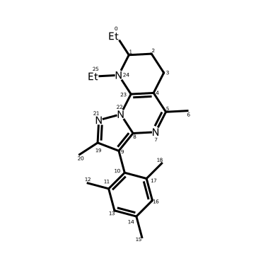 CCC1CCc2c(C)nc3c(-c4c(C)cc(C)cc4C)c(C)nn3c2N1CC